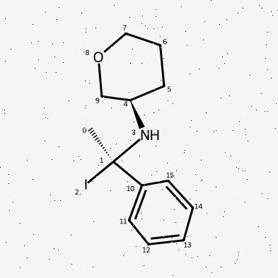 C[C@](I)(N[C@@H]1CCCOC1)c1ccccc1